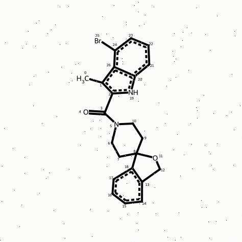 Cc1c(C(=O)N2CCC3(CC2)OCc2ccccc23)[nH]c2cccc(Br)c12